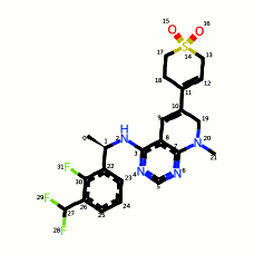 C[C@@H](Nc1ncnc2c1C=C(C1=CCS(=O)(=O)CC1)CN2C)c1cccc(C(F)F)c1F